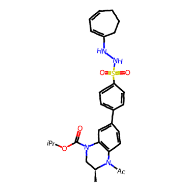 CC(=O)N1c2ccc(-c3ccc(S(=O)(=O)NNC4=CC=CCCC4)cc3)cc2N(C(=O)OC(C)C)C[C@@H]1C